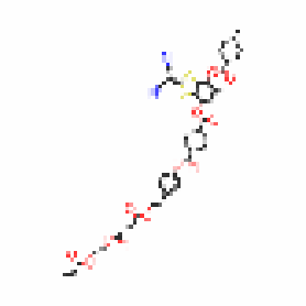 C=CC(=O)OCCOC(=O)CCC(=O)OCCc1ccc(OC(=O)C2CCC(C(=O)Oc3cc(C)c(OC(=O)C4CCC(C)CC4)c4c3SC(=C(C#N)C#N)S4)CC2)cc1